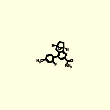 Cc1ccc(-c2cc(C(N)=O)nc3c2C[C@H]2CC[C@@H]3O2)c(F)c1